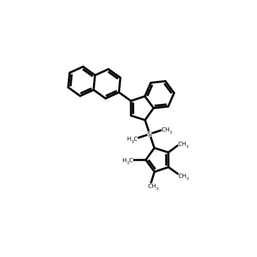 CC1=C(C)C([Si](C)(C)C2C=C(c3ccc4ccccc4c3)c3ccccc32)C(C)=C1C